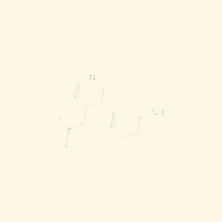 CCC(=O)Oc1ccncc1-c1cccc(N)c1